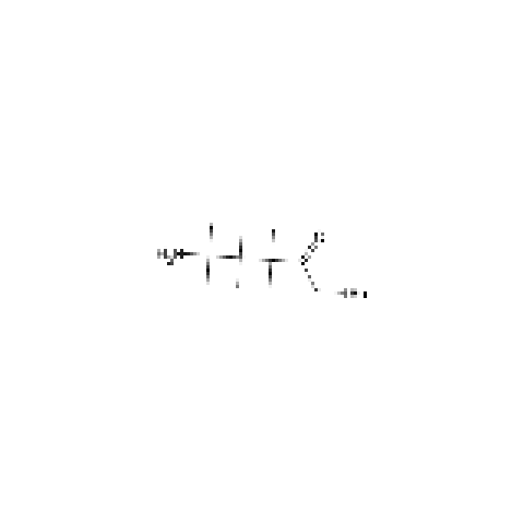 CC(C)(C)CC(=O)C(C)(C)C(C)(C)C(C)(C)N